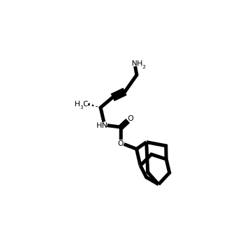 C[C@H](C#CCN)NC(=O)OC1C2CC3CC(C2)CC1C3